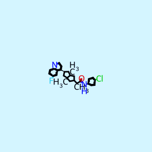 CC(C(=O)Nc1ccc(Cl)cc1)C1C[C@@]2(C)C[C@@H](c3ccnc4ccc(F)cc34)C[C@@]2(C)C1